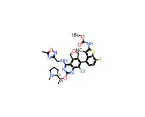 Cc1nc(CNc2nc(O[C@@H](C)[C@@H]3CCCN3C)nc3c(Cl)c(-c4ccc(F)c5sc(NC(=O)OC(C)(C)C)c(C#N)c45)c4c(c23)COC4)no1